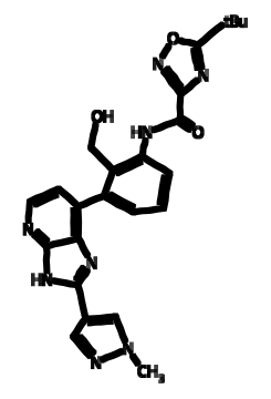 Cn1cc(-c2nc3c(-c4cccc(NC(=O)c5noc(C(C)(C)C)n5)c4CO)ccnc3[nH]2)cn1